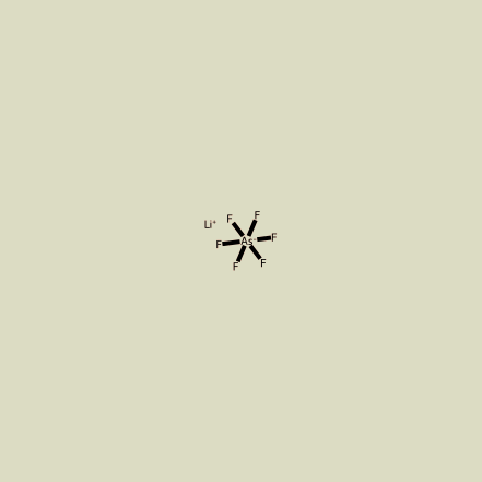 F[As-](F)(F)(F)(F)F.[Li+]